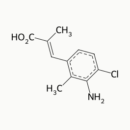 CC(=Cc1ccc(Cl)c(N)c1C)C(=O)O